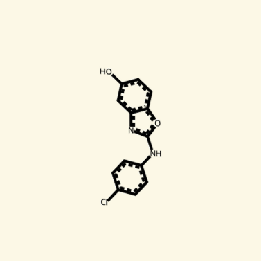 Oc1ccc2oc(Nc3ccc(Cl)cc3)nc2c1